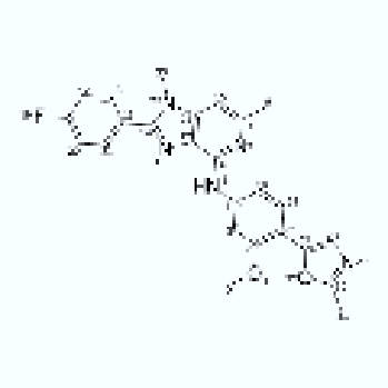 COc1cc(Nc2nc(C)cc3c2nc(-c2ccc(F)cc2)n3C)ccc1-c1cnc(C)o1